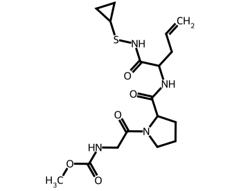 C=CCC(NC(=O)C1CCCN1C(=O)CNC(=O)OC)C(=O)NSC1CC1